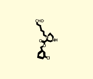 O=[C]CCCCCN1CCNCC1C(=O)OCc1cccc(Cl)c1